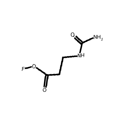 NC(=O)NCCC(=O)OF